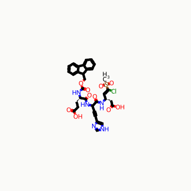 CS(=O)(=O)/C(Cl)=C/[C@H](CC(=O)O)NC(=O)C(C#Cc1c[nH]cn1)NC(=O)[C@H](CCC(=O)O)NC(=O)OCC1c2ccccc2-c2ccccc21